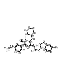 C[C@@H](CN1CCc2cc(F)ccc21)NC(=O)[C@H](CC1CCCCC1)NS(=O)(=O)c1cccc(OC(F)(F)F)c1